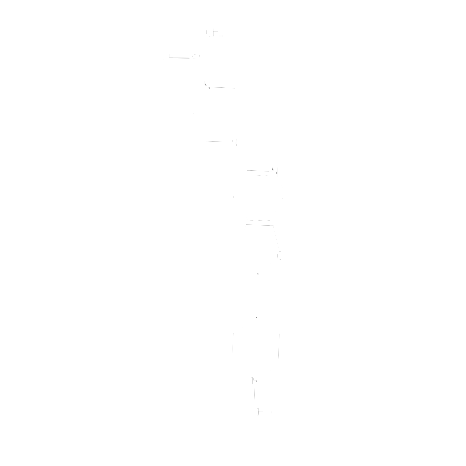 C[S+]([O-])N1CCN(c2cc3c(cn2)OC2(C3)CC3(CCN(C=O)CC3)C2)CC1